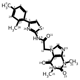 Cc1ccc(-c2csc(NC(=O)Cn3cnc4c3c(=O)n(C)c(=O)n4C)n2)c(C)c1